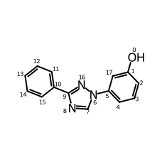 Oc1cccc(-n2cnc(-c3ccccc3)n2)c1